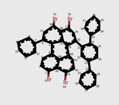 Brc1ccc2c3c(-c4ccccc4)cc(Br)c4c(Br)cc(-c5cc(-c6ccccc6)ccc5-c5ccccc5)c(c5ccc(Br)c1c25)c43